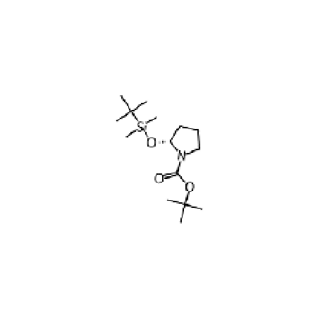 CC(C)(C)OC(=O)N1CCC[C@H]1O[Si](C)(C)C(C)(C)C